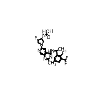 Cc1nc(NC(C)c2cccc(C(F)F)c2F)c2cc(N3C[C@H](F)[C@H](NC(=O)O)C3)ncc2n1